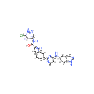 N/C=C(\C=C(/N)Cl)NC(=O)c1cc2ccc(-c3nccc(Nc4ccc5[nH]ncc5c4)n3)cc2[nH]1